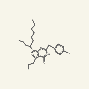 CCCCCCC(CCC)n1nc(CCC)c2c(=O)[nH]c(Cc3ccc(Br)cc3)nc21